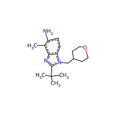 Cc1c(N)ccc2c1nc(C(C)(C)C)n2CC1CCOCC1